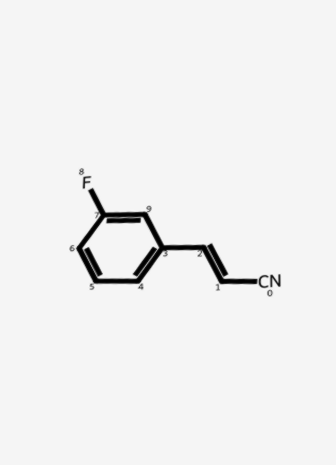 N#C/C=C/c1cccc(F)c1